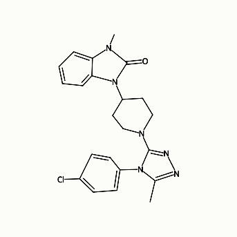 Cc1nnc(N2CCC(n3c(=O)n(C)c4ccccc43)CC2)n1-c1ccc(Cl)cc1